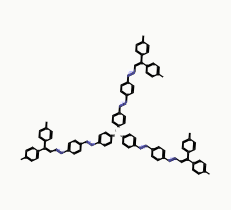 Cc1ccc(C(=C/C=C/c2ccc(/C=C/c3ccc(N(c4ccc(/C=C/c5ccc(/C=C/C=C(c6ccc(C)cc6)c6ccc(C)cc6)cc5)cc4)c4ccc(/C=C/c5ccc(/C=C/C=C(c6ccc(C)cc6)c6ccc(C)cc6)cc5)cc4)cc3)cc2)c2ccc(C)cc2)cc1